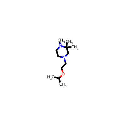 CC(C)OCCN1CCN(C)C(C)(C)C1